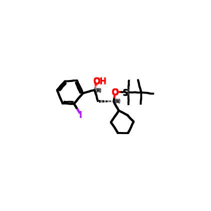 CC(C)(C)[Si](C)(C)O[C@@H](C[C@@H](O)c1ccccc1I)C1CCCCC1